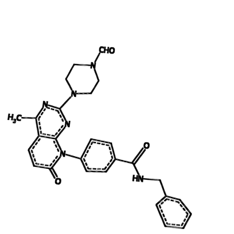 Cc1nc(N2CCN(C=O)CC2)nc2c1ccc(=O)n2-c1ccc(C(=O)NCc2ccccc2)cc1